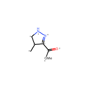 COC(=O)C1=NNCC1C